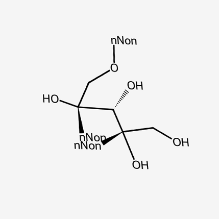 CCCCCCCCCOC[C@](O)(CCCCCCCCC)[C@H](O)[C@@](O)(CO)CCCCCCCCC